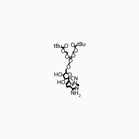 CC(C)(C)C(=O)OCOP(OCOCC1O[C@@](C#N)(c2ccc3c(N)ncnn23)[C@H](O)[C@@H]1O)OCOC(=O)C(C)(C)C